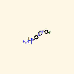 NC(=S)NN=Cc1ccc(N2CCN(Cc3ccc(F)cc3)CC2)cc1